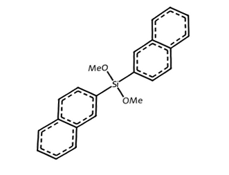 CO[Si](OC)(c1ccc2ccccc2c1)c1ccc2ccccc2c1